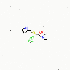 CCN(CC)CC(O)CSCCc1ccccn1.Cl.Cl